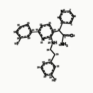 NC(=O)C(c1cccnc1)c1ccc(-c2cccc(F)c2)nc1NCCc1cccc(F)c1